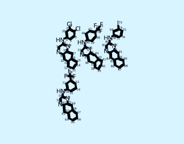 Clc1ccc(Nc2cnc3cc4ccccc4cc3n2)cc1Cl.FC(F)(F)c1ccc(Nc2cnc3cc4ccccc4cc3n2)cc1.FC(F)(F)c1cccc(Nc2cnc3cc4ccccc4cc3n2)c1.Ic1cccc(Nc2cnc3cc4ccccc4cc3n2)c1